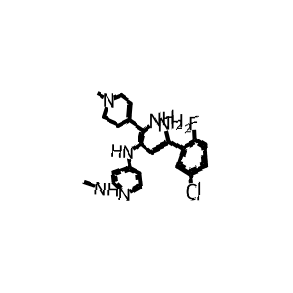 CNc1cc(NC(/C=C(\N)c2cc(Cl)ccc2F)=C(/N)C2=CCN(C)CC2)ccn1